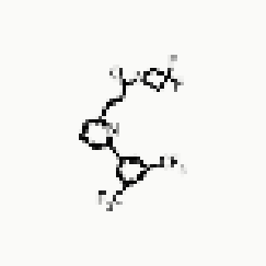 O=C(C=Cc1cccc(-c2cc(C(F)(F)F)cc(C(F)(F)F)c2)n1)N1CC(F)(F)C1